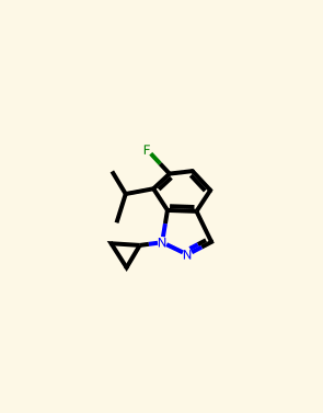 CC(C)c1c(F)ccc2cnn(C3CC3)c12